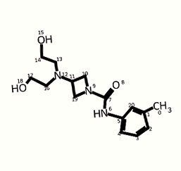 Cc1cccc(NC(=O)N2CC(N(CCO)CCO)C2)c1